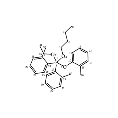 CCCCOP(OCC)(Oc1ccccc1C)(c1ccccc1C)c1ccccc1C